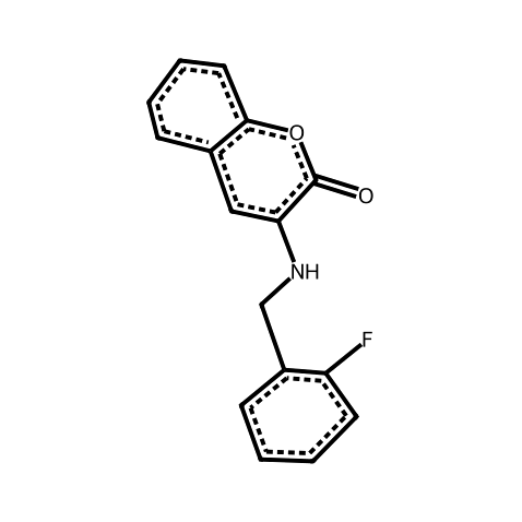 O=c1oc2ccccc2cc1NCc1ccccc1F